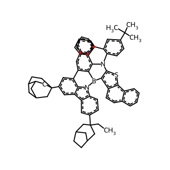 CCC1(c2ccc3c(c2)c2cc(C45CCC6CC(CC6C4)C5)cc4c2n3B2c3c-4cc4ccccc4c3N(c3ccc(C(C)(C)C)cc3-c3ccccc3)c3sc4c(ccc5ccccc54)c32)CC2CCC(C2)C1